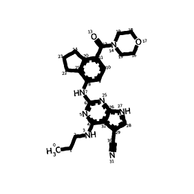 CCCNc1nc(Nc2ccc(C(=O)N3CCOCC3)c3c2CCC3)nc2[nH]cc(C#N)c12